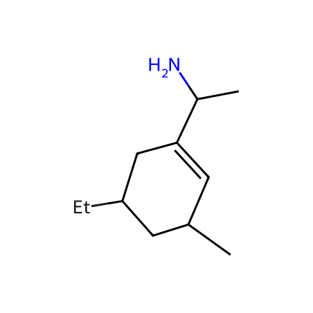 CCC1CC(C(C)N)=CC(C)C1